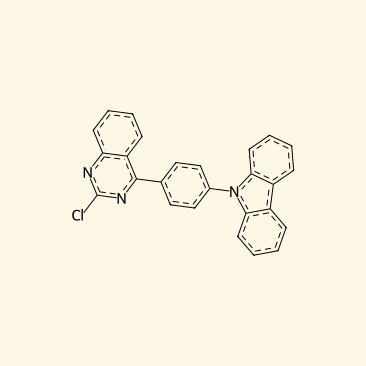 Clc1nc(-c2ccc(-n3c4ccccc4c4ccccc43)cc2)c2ccccc2n1